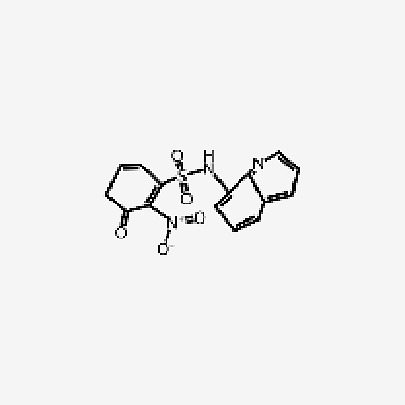 O=C1CC=CC(S(=O)(=O)Nc2cccc3cccnc23)=C1[N+](=O)[O-]